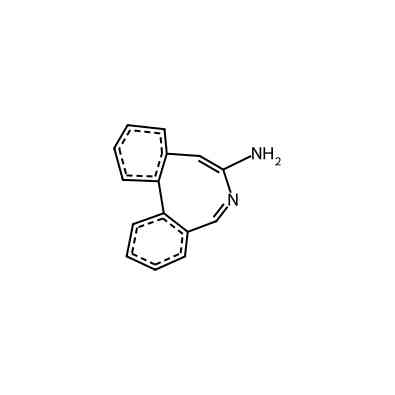 NC1=C/c2ccccc2-c2ccccc2/C=N\1